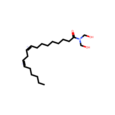 CCCCC/C=C\C/C=C\CCCCCCCC(=O)N(CO)CO